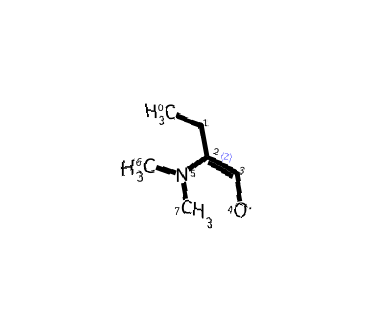 CC/C(=C/[O])N(C)C